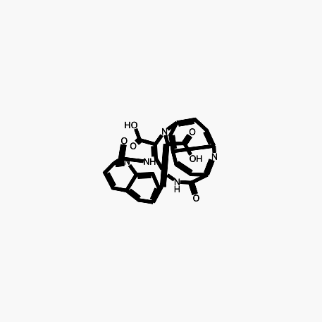 O=C(O)c1c2[nH]c(=O)c3ccc4cc(ccc4n3)c3c(C(=O)O)n1c1ccc4nc(ccc4c1)c(=O)[nH]n23